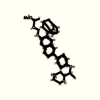 COC(C)OCOc1cc2ccc(-c3ccc(OC(C)C4CNCCO4)cc3)cc2cc1C12CC3CC(CC(C3)C1)C2